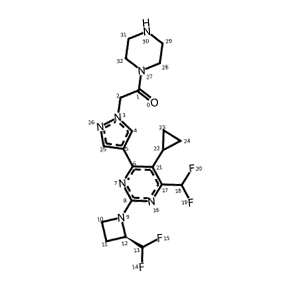 O=C(Cn1cc(-c2nc(N3CC[C@@H]3C(F)F)nc(C(F)F)c2C2CC2)cn1)N1CCNCC1